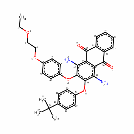 CCOCCOc1ccc(Oc2c(N)c3c(c(N)c2Oc2ccc(C(C)(C)C)cc2)C(=O)c2ccccc2C3=O)cc1